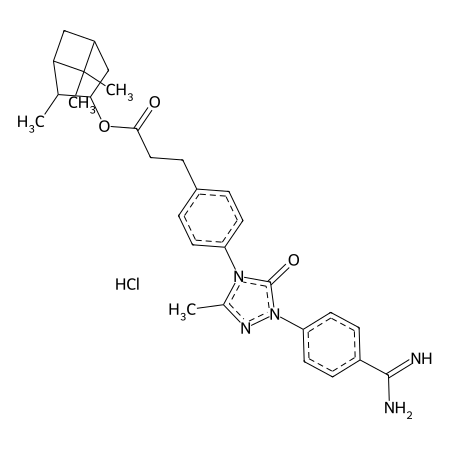 Cc1nn(-c2ccc(C(=N)N)cc2)c(=O)n1-c1ccc(CCC(=O)OC2CC3CC(C2C)C3(C)C)cc1.Cl